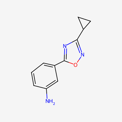 Nc1cccc(-c2nc(C3CC3)no2)c1